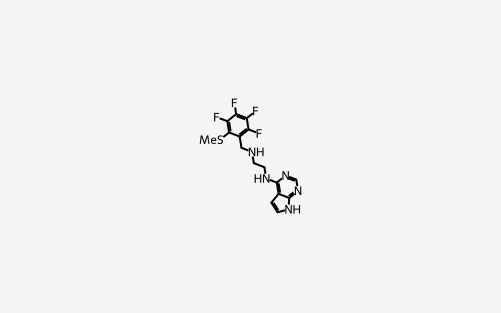 CSc1c(F)c(F)c(F)c(F)c1CNCCNc1ncnc2[nH]ccc12